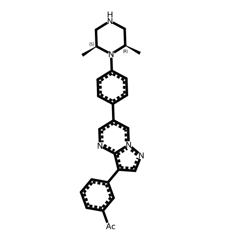 CC(=O)c1cccc(-c2cnn3cc(-c4ccc(N5[C@H](C)CNC[C@@H]5C)cc4)cnc23)c1